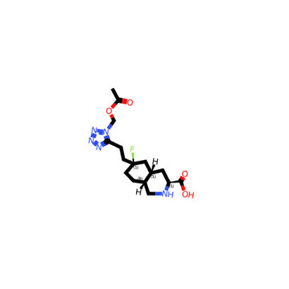 CC(=O)OCn1nnnc1CC[C@@]1(F)CC[C@H]2CN[C@H](C(=O)O)C[C@H]2C1